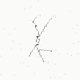 CCCC/C=C\COC(=O)CCCCCN(CCCCCCCCCCCCCC)CC(=O)N1CCN(C(=O)CN(CCCCCCCCC)CCN(CCCCCCCCC)CCCCCCCCC)CC1